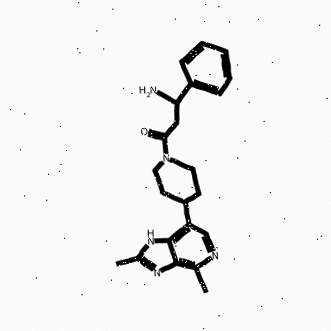 Cc1nc2c(C)ncc(C3CCN(C(=O)CC(N)c4ccccc4)CC3)c2[nH]1